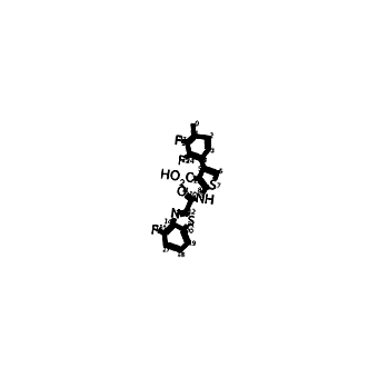 Cc1ccc(-c2csc(NC(=O)c3nc4c(F)cccc4s3)c2C(=O)O)c(F)c1F